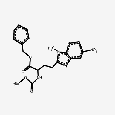 Cn1c(CCC(NC(=O)OC(C)(C)C)C(=O)OCc2ccccc2)nc2cc([N+](=O)[O-])cnc21